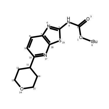 CC(C)(C)OC(=O)Nc1nc2ccc(C3CCOCC3)nc2s1